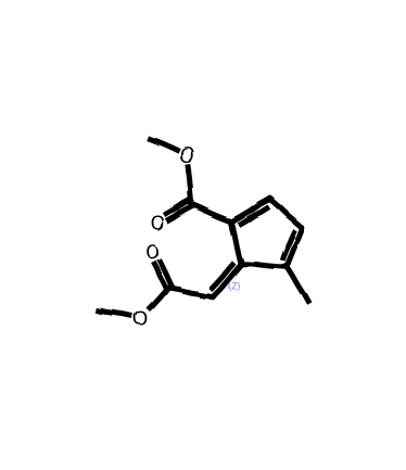 COC(=O)/C=C1/C(C)=CC=C1C(=O)OC